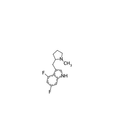 CN1CCCC1Cc1c[nH]c2cc(F)cc(F)c12